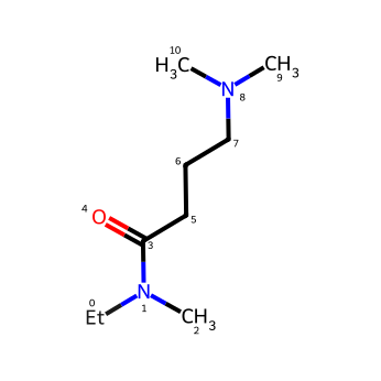 CCN(C)C(=O)CCCN(C)C